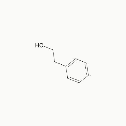 OCCc1cc[c]cc1